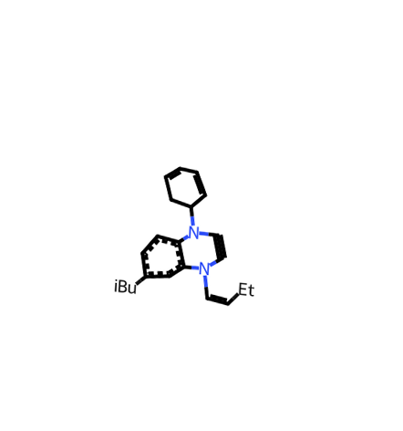 CC/C=C\N1C#CN(C2C=CC=CC2)c2ccc(C(C)CC)cc21